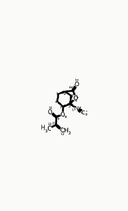 [C-]#[N+]C12CC(CCC1OC(=O)C(=C)C)C(=O)O2